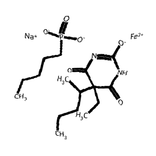 CCCC(C)C1(CC)C(=O)N=C([O-])NC1=O.CCCCCP(=O)([O-])[O-].[Fe+2].[Na+]